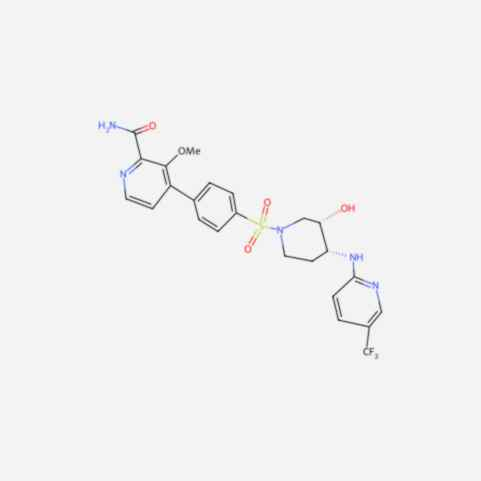 COc1c(-c2ccc(S(=O)(=O)N3CC[C@@H](Nc4ccc(C(F)(F)F)cn4)[C@@H](O)C3)cc2)ccnc1C(N)=O